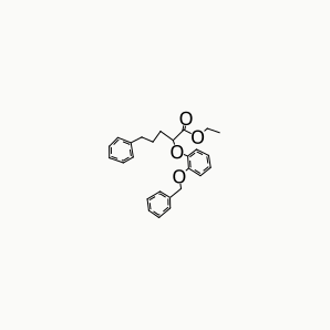 CCOC(=O)C(CCCc1ccccc1)Oc1ccccc1OCc1ccccc1